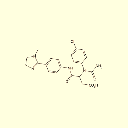 CN1CCN=C1c1ccc(NC(=O)C(CC(=O)O)N(C(N)=O)c2ccc(Cl)cc2)cc1